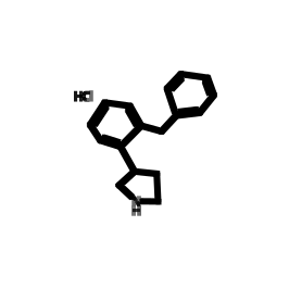 Cl.c1ccc(Cc2ccccc2C2CCNC2)cc1